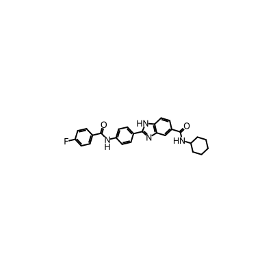 O=C(Nc1ccc(-c2nc3cc(C(=O)NC4CCCCC4)ccc3[nH]2)cc1)c1ccc(F)cc1